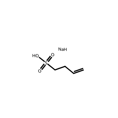 C=CCCS(=O)(=O)O.[NaH]